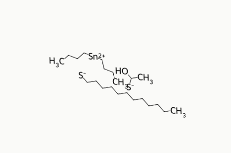 CC(O)[S-].CCCCCCCCCCCC[S-].CCC[CH2][Sn+2][CH2]CCC